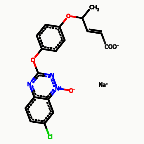 CC(C=CC(=O)[O-])Oc1ccc(Oc2nc3ccc(Cl)cc3[n+]([O-])n2)cc1.[Na+]